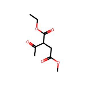 CCOC(=O)C(CC(=O)OC)C(C)=O